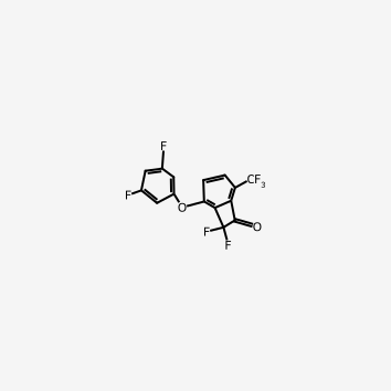 O=C1c2c(C(F)(F)F)ccc(Oc3cc(F)cc(F)c3)c2C1(F)F